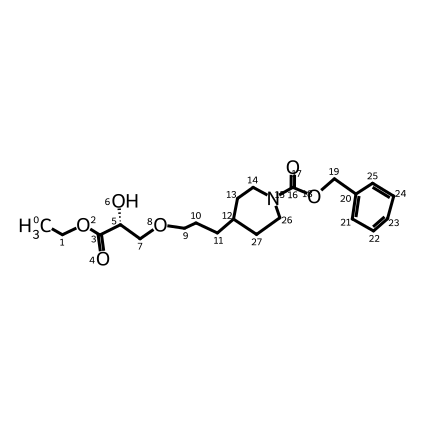 CCOC(=O)[C@H](O)COCCCC1CCN(C(=O)OCc2ccccc2)CC1